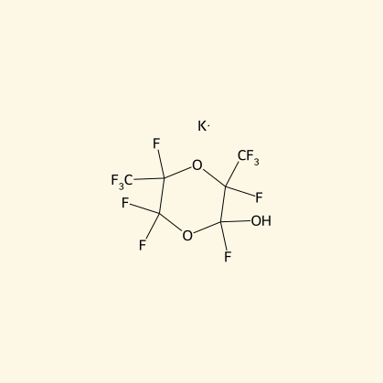 OC1(F)OC(F)(F)C(F)(C(F)(F)F)OC1(F)C(F)(F)F.[K]